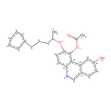 CC(=O)Oc1c(OC(C)CCCc2ccccc2)ccc2ncc3ccc(O)cc3c12